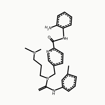 C=C(Nc1cccc(C)c1)N(CCCN(C)C)Cc1ccc(C(=O)Nc2ccccc2N)nc1